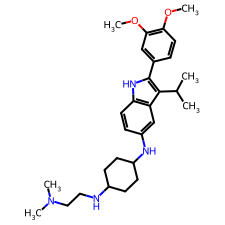 COc1ccc(-c2[nH]c3ccc(NC4CCC(NCCN(C)C)CC4)cc3c2C(C)C)cc1OC